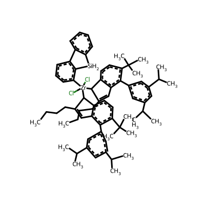 CCCCC1=Cc2c(ccc(C(C)(C)C)c2-c2cc(C(C)C)cc(C(C)C)c2)[CH]1[Zr]([Cl])([Cl])([c]1cccc2c1[SiH2]c1ccccc1-2)[CH]1C(CCCC)=Cc2c1ccc(C(C)(C)C)c2-c1cc(C(C)C)cc(C(C)C)c1